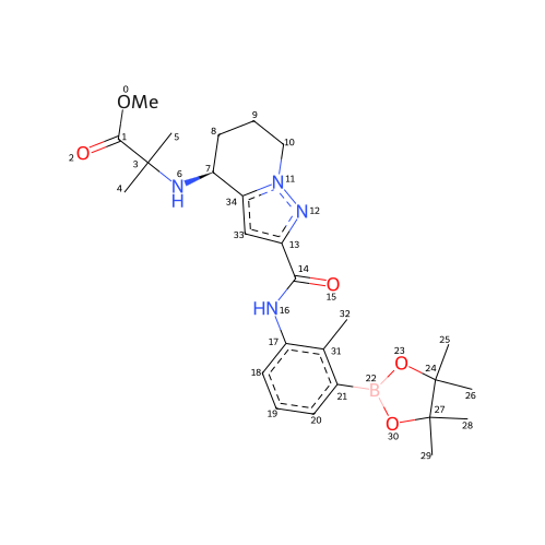 COC(=O)C(C)(C)N[C@H]1CCCn2nc(C(=O)Nc3cccc(B4OC(C)(C)C(C)(C)O4)c3C)cc21